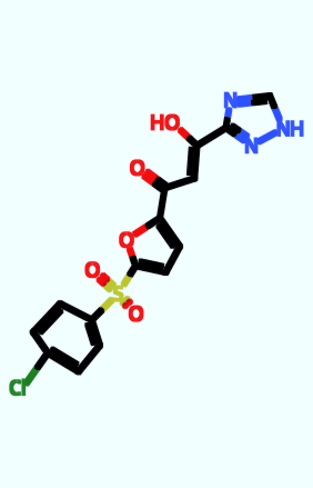 O=C(C=C(O)c1nc[nH]n1)c1ccc(S(=O)(=O)c2ccc(Cl)cc2)o1